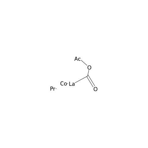 CC(=O)O[C](=O)[La].[Co].[Pr]